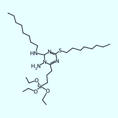 CCCCCCCCNC1N=C(SCCCCCCCC)N=C(CCC[Si](OCC)(OCC)OCC)N1N